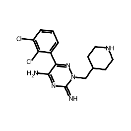 N=c1nc(N)c(-c2cccc(Cl)c2Cl)nn1CC1CCNCC1